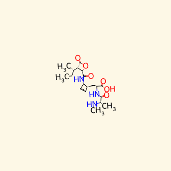 CC[C@H](C)[C@@H]1C(=O)O[C@H]1C(=O)N[C@H]1C=C[C@@H]1C[C@H](NC(=O)[C@H](C)NC)C(=O)O